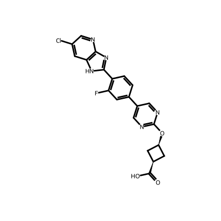 O=C(O)[C@H]1C[C@@H](Oc2ncc(-c3ccc(-c4nc5ncc(Cl)cc5[nH]4)c(F)c3)cn2)C1